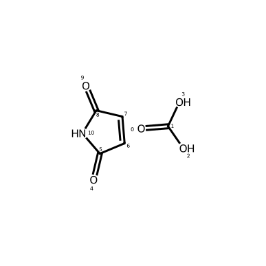 O=C(O)O.O=C1C=CC(=O)N1